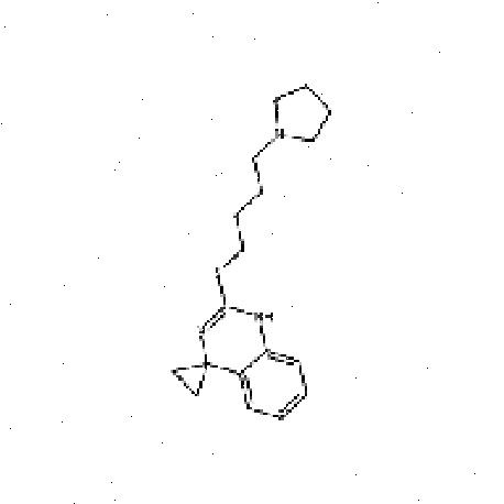 c1ccc2c(c1)NC(SCCCCN1CCCC1)=NC21CC1